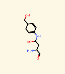 NC(C=O)CC(O)NC1=CCC(CO)C=C1